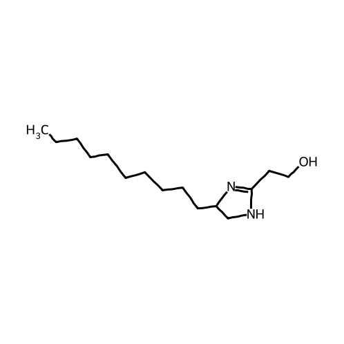 CCCCCCCCCCC1CNC(CCO)=N1